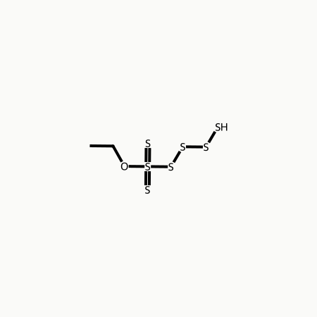 CCOS(=S)(=S)SSSS